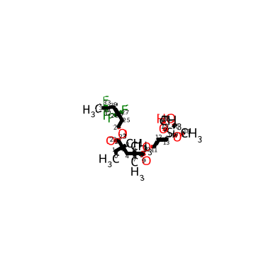 CCC(C)(CC(C)(C)C(=O)OCCC[Si](CO)(OC)OC)C(=O)OCCC(F)(F)CC(C)(F)F